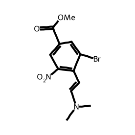 COC(=O)c1cc(Br)c(C=CN(C)C)c([N+](=O)[O-])c1